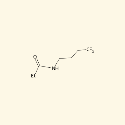 CCC(=O)NCCCC(F)(F)F